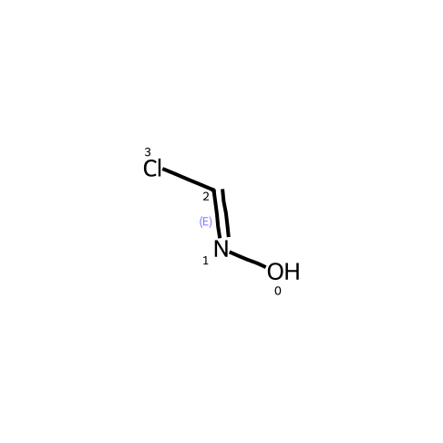 O/N=C/Cl